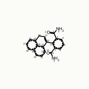 NC(=O)c1cccc(C(N)=O)c1C1=CCc2cccc3cccc1c23